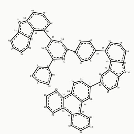 c1ccc(-c2nc(-c3ccc(-c4cccc5sc6ccc(-c7ccc8c9ccccc9c9ccccc9c8c7)cc6c45)cc3)nc(-c3cccc4oc5ccccc5c34)n2)cc1